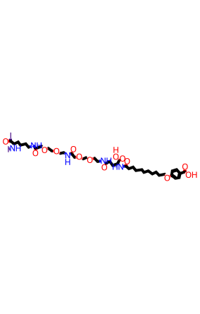 O=C(CCC(NC(=O)CCCCCCCCCCOc1ccc(C(=O)O)cc1)C(=O)O)NCCOCCOCC(=O)NCCOCCOCC(=O)NCCCCC(NI)C(=O)I